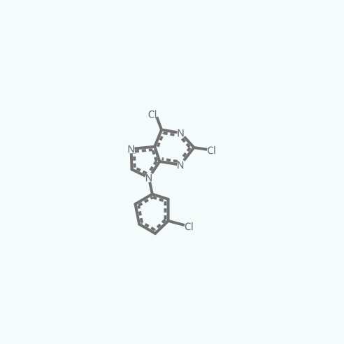 Clc1cccc(-n2cnc3c(Cl)nc(Cl)nc32)c1